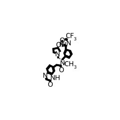 CN(C(=O)Cc1ccc2ncc(=O)[nH]c2c1)[C@H](CN1CC[C@@H](O)C1)c1cccc(-c2noc(C(F)(F)F)n2)c1